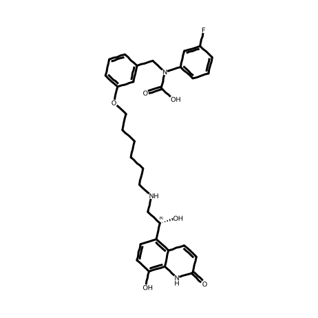 O=C(O)N(Cc1cccc(OCCCCCCNC[C@H](O)c2ccc(O)c3[nH]c(=O)ccc23)c1)c1cccc(F)c1